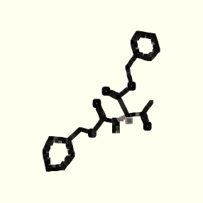 CC(=O)[C@H](NC(=O)OCc1ccccc1)C(=O)OCc1ccccc1